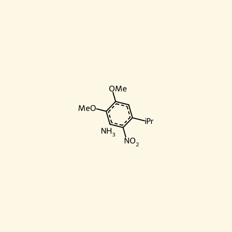 COc1cc(C(C)C)c([N+](=O)[O-])cc1OC.N